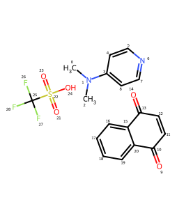 CN(C)c1ccncc1.O=C1C=CC(=O)c2ccccc21.O=S(=O)(O)C(F)(F)F